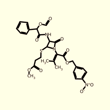 COC(=O)CCSC1C(NC(=O)C(OC=O)c2ccccc2)C(=O)N1C(C(=O)OCc1ccc([N+](=O)[O-])cc1)=C(C)C